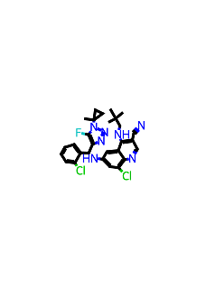 CC(C)(C)CNc1c(C#N)cnc2c(Cl)cc(N[C@@H](c3ccccc3Cl)c3nnn(C4(C)CC4)c3F)cc12